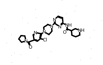 O=C(Nc1ccnc(N2CCN(c3ncc(C(=O)N4CCCC4)cc3Cl)CC2)n1)C1CCCNC1